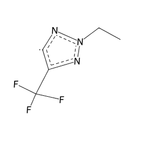 CCn1n[c]c(C(F)(F)F)n1